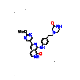 COc1ncc(-c2cc3cc[nH]c(=O)c3c(Nc3ccc(CCN4CCNC(=O)C4)cc3)n2)cn1